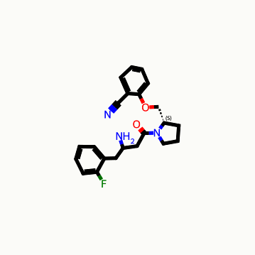 N#Cc1ccccc1OC[C@@H]1CCCN1C(=O)CC(N)Cc1ccccc1F